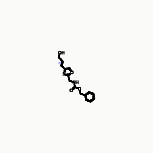 O=C(NCc1nc(/C=C/CO)co1)OCc1ccccc1